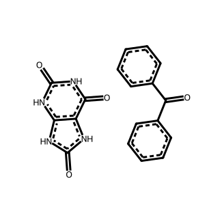 O=C(c1ccccc1)c1ccccc1.O=c1[nH]c(=O)c2[nH]c(=O)[nH]c2[nH]1